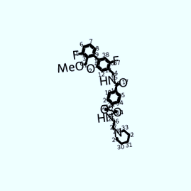 COC(=O)c1c(F)cccc1-c1ccc(CNC(=O)c2ccc(S(=O)(=O)NCCN3CCCCC3)cc2)c(F)c1